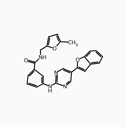 Cc1ccc(CNC(=O)c2cccc(Nc3ncc(-c4cc5ccccc5o4)cn3)c2)o1